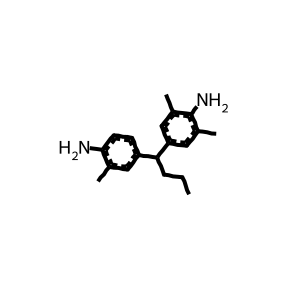 CCCC(c1ccc(N)c(C)c1)c1cc(C)c(N)c(C)c1